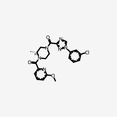 COc1cccc(C(=O)N2CCN(C(=O)c3ncn(-c4cccc(Cl)c4)n3)C[C@H]2C)n1